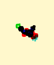 CC1CN(C(=O)Cn2c(=O)c(C(=O)NCc3ccc(Cl)cc3)cc3ccc(OS(=O)(=O)C(F)(F)F)nc32)C1